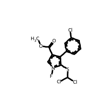 COC(=O)c1cn(F)c(SC(Cl)Cl)c1-c1cccc(Cl)c1